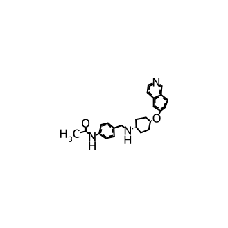 CC(=O)Nc1ccc(CN[C@H]2CC[C@H](Oc3ccc4cnccc4c3)CC2)cc1